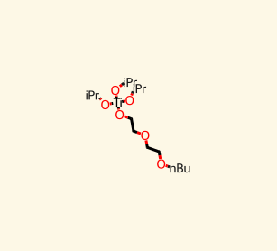 CCCCOCCOCC[O][Ti]([O]C(C)C)([O]C(C)C)[O]C(C)C